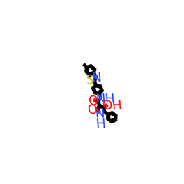 Cc1ccc2nc(-c3ccc(NC(=O)C4=C(O)C(c5ccccc5)NC4=O)cc3)sc2c1